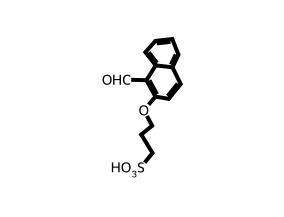 O=Cc1c(OCCCS(=O)(=O)O)ccc2ccccc12